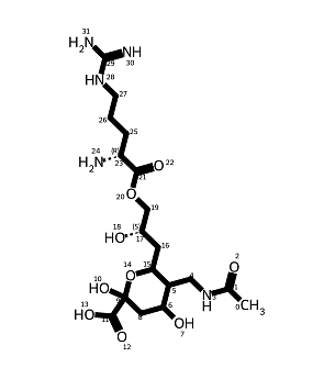 CC(=O)NCC1C(O)CC(O)(C(=O)O)OC1C[C@H](O)COC(=O)[C@H](N)CCCNC(=N)N